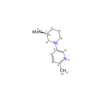 CN[C@H]1CCCN(c2ccc(C)nc2)C1